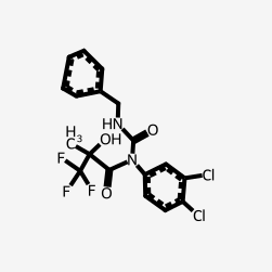 CC(O)(C(=O)N(C(=O)NCc1ccccc1)c1ccc(Cl)c(Cl)c1)C(F)(F)F